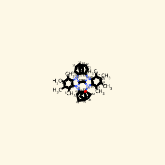 Cc1c(C)c(C)c2c(c1C)N(c1ccccc1)C(=C1N(c3ccccc3)c3c(C)c(C)c(C)c(C)c3N1c1ccccc1)N2c1ccccc1